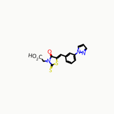 O=C(O)CN1C(=O)/C(=C/c2cccc(-n3cccn3)c2)SC1=S